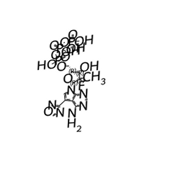 C[C@]1(F)[C@H](O)[C@@H](COP(=O)(O)OP(=O)(O)OP(=O)(O)O)O[C@H]1n1cc(-c2ncon2)c2c(N)ncnc21